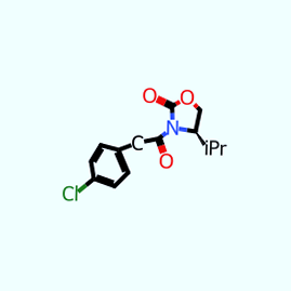 CC(C)[C@@H]1COC(=O)N1C(=O)Cc1ccc(Cl)cc1